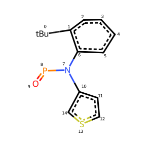 CC(C)(C)c1ccccc1N(P=O)c1ccsc1